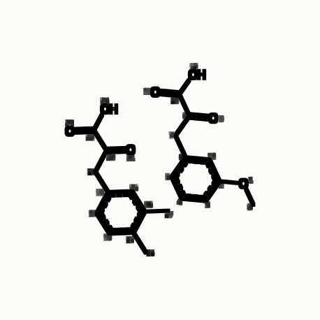 COc1cccc(CC(=O)C(=O)O)c1.Cc1ccc(CC(=O)C(=O)O)cc1C